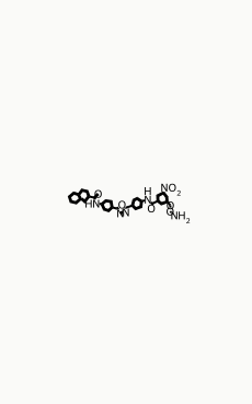 NOOc1cc(C(=O)Nc2ccc(-c3nnc(-c4ccc(NC(=O)c5ccc6ccccc6c5)cc4)o3)cc2)cc([N+](=O)[O-])c1